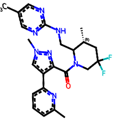 Cc1cccc(-c2cn(C)nc2C(=O)N2CC(F)(F)C[C@@H](C)C2CNc2ncc(C(F)(F)F)cn2)n1